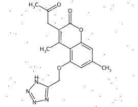 CC(=O)Cc1c(C)c2c(OCc3nnn[nH]3)cc(C)cc2oc1=O